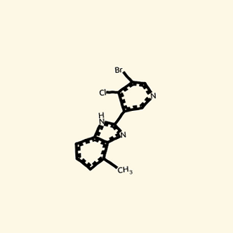 Cc1cccc2[nH]c(-c3cncc(Br)c3Cl)nc12